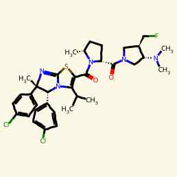 CC(C)C1=C(C(=O)N2[C@H](C)CC[C@@H]2C(=O)N2C[C@@H](CF)[C@H](N(C)C)C2)SC2=N[C@@](C)(c3ccc(Cl)cc3)[C@@H](c3ccc(Cl)cc3)N21